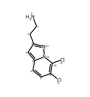 NCCc1cc2ccc(Cl)c(Cl)n2n1